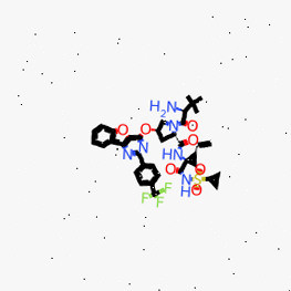 C=C[C@@H]1C[C@]1(NC(=O)[C@@H]1C[C@@H](Oc2nc(-c3ccc(C(F)(F)F)cc3)nc3c2oc2ccccc23)CN1C(=O)[C@@H](N)C(C)(C)C)C(=O)NS(=O)(=O)C1CC1